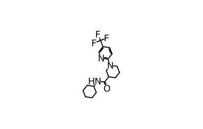 O=C(NC1CCCCC1)C1CCCN(c2ccc(C(F)(F)F)cn2)C1